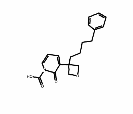 O=C(O)n1cccc(C2(CCCCc3ccccc3)COC2)c1=O